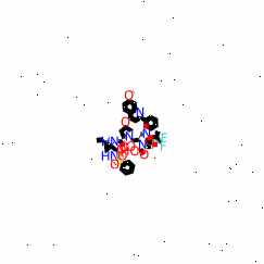 C=C[C@@H]1C[C@]1(NC(=O)[C@@H]1C[C@@H](Oc2cc(-c3ccccc3)nc3cc(OC)ccc23)CN1C(=O)[C@H](CN(C)C(=O)C(=C)C(F)(F)F)N(C(=O)O)C(C)(C)C)C(=O)NS(=O)(=O)c1ccccc1